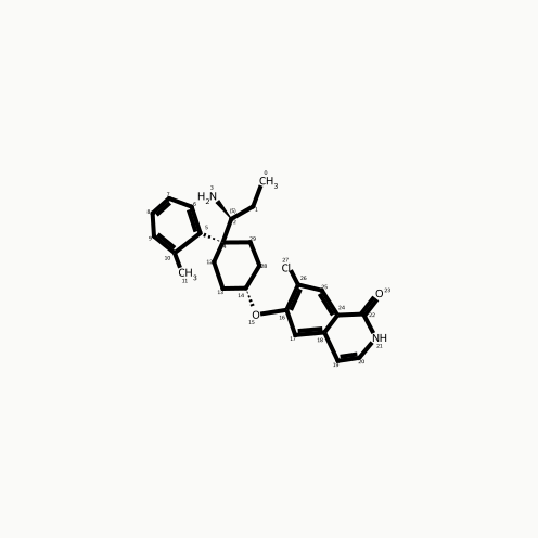 CC[C@H](N)[C@]1(c2ccccc2C)CC[C@@H](Oc2cc3cc[nH]c(=O)c3cc2Cl)CC1